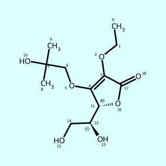 CCOC1=C(OCC(C)(C)O)[C@@H]([C@@H](O)CO)OC1=O